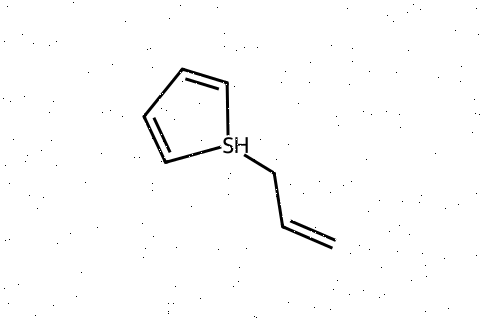 C=CC[SH]1C=CC=C1